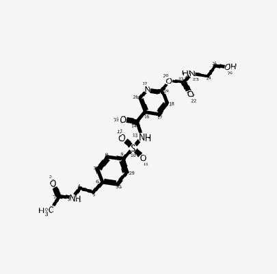 CC(=O)NCCc1ccc(S(=O)(=O)NC(=O)c2ccc(OC(=O)NCCO)nc2)cc1